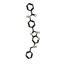 O=C(Nc1ccc(-c2nc3cc(NCc4ccccc4)cnc3[nH]2)cc1)c1ccccc1